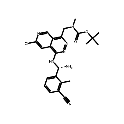 Cc1c(C#N)cccc1[C@@H](N)Nc1nnc(CN(C)C(=O)OC(C)(C)C)c2cnc(Cl)cc12